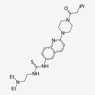 CCN(CC)CCNC(=S)Nc1ccc2nc(N3CCN(C(=O)CC(C)C)CC3)ccc2c1